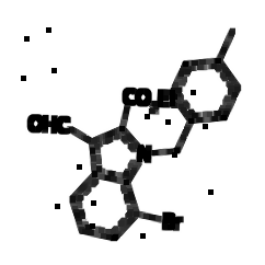 CCOC(=O)c1c(C=O)c2cccc(Br)c2n1Cc1ccc(C)cc1